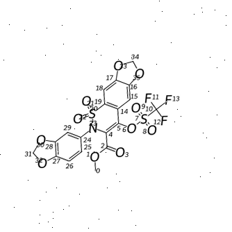 COC(=O)C1=C(OS(=O)(=O)C(F)(F)F)c2cc3c(cc2S(=O)(=O)N1c1ccc2c(c1)OCO2)OCO3